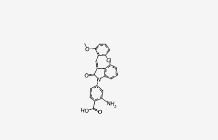 COc1cccc(Cl)c1/C=C1/C(=O)N(c2ccc(C(=O)O)c(N)c2)c2cccc(C)c21